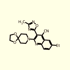 CCc1ccc2nc(N3CCC4(CC3)OCCO4)c(-c3nc(C)no3)c(C#N)c2c1